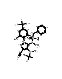 CN(c1c([S+]([O-])C(F)(F)F)c(C#N)nn1-c1c(Cl)cc(C(F)(F)F)cc1Cl)P(=O)(Cl)Cc1ccccc1